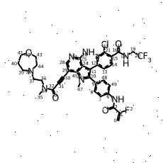 C=C(F)C(=O)Nc1ccc(-c2c(-c3ccc(C(=O)NCC(F)(F)F)c(Cl)c3)c3c(N)ncc(C#CC(=O)N(C)CCN4CCCOCC4)c3n2C)cc1